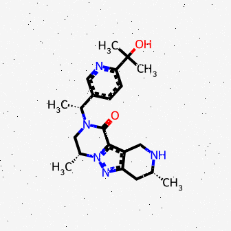 C[C@@H]1Cc2nn3c(c2CN1)C(=O)N([C@H](C)c1ccc(C(C)(C)O)nc1)C[C@H]3C